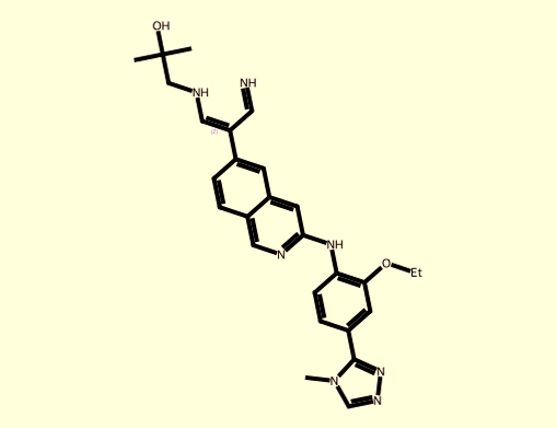 CCOc1cc(-c2nncn2C)ccc1Nc1cc2cc(/C(C=N)=C/NCC(C)(C)O)ccc2cn1